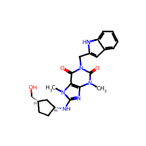 Cn1c(N[C@@H]2CC[C@H](CO)C2)nc2c1c(=O)n(Cc1cc3ccccc3[nH]1)c(=O)n2C